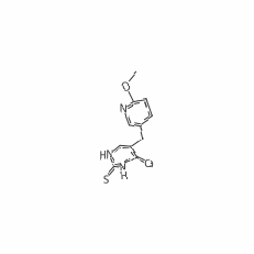 COc1ccc(Cc2c[nH]c(=S)[nH]c2=O)cn1